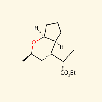 CCOC(=O)[C@@H](C)[C@@H]1C[C@@H](C)O[C@H]2CCC[C@@H]12